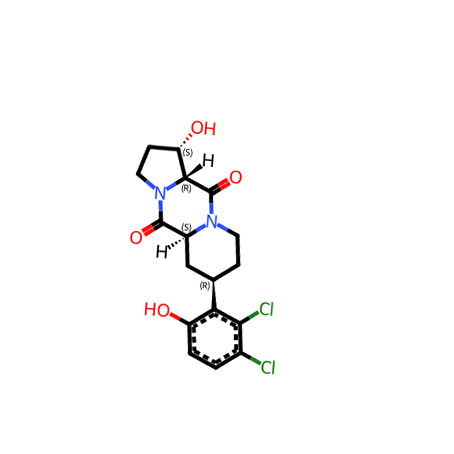 O=C1[C@H]2[C@@H](O)CCN2C(=O)[C@@H]2C[C@H](c3c(O)ccc(Cl)c3Cl)CCN12